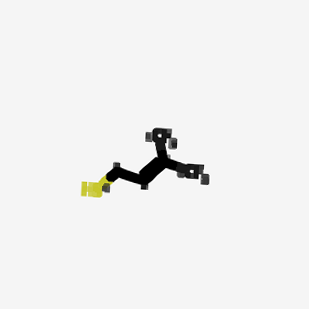 FC(F)(F)C(=CCS)C(F)(F)F